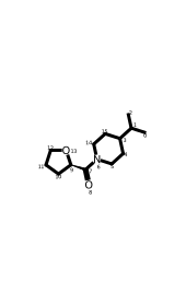 CC(C)C1CCN(C(=O)[C@H]2CCCO2)CC1